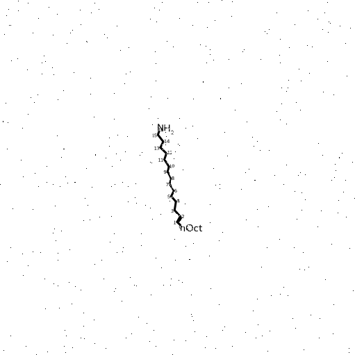 CCCCCCCCC=CCCCCCCCCCCCCCN